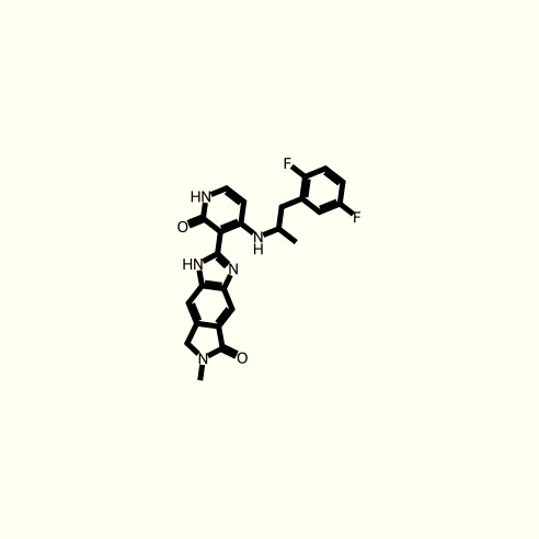 CC(Cc1cc(F)ccc1F)Nc1cc[nH]c(=O)c1-c1nc2cc3c(cc2[nH]1)CN(C)C3=O